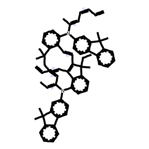 C=C/C=C\C=C(/C)N(c1ccc2c(c1)C(C)(C)c1ccccc1-2)c1cccc2c1/C=C/C1=C(/C=C/CC2(C)C)c2c(N(C(/C=C\C=C)=C/C)c3ccc4c(c3)C(C)(C)c3ccccc3-4)cccc2C1(C)CC